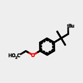 CC(C)(C)CC(C)(C)c1ccc(OCC(=O)O)cc1